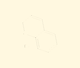 C1=Cc2ccccc2OC1.[Eu]